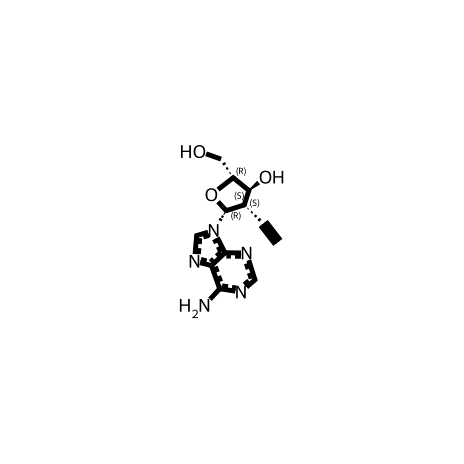 C#C[C@H]1[C@H](O)[C@@H](CO)O[C@H]1n1cnc2c(N)ncnc21